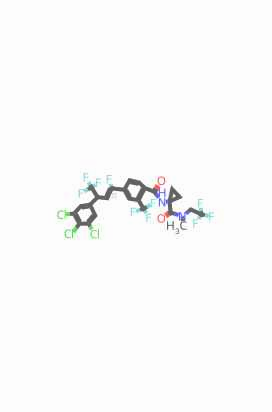 CN(CC(F)(F)F)C(=O)C1(NC(=O)c2ccc(/C(F)=C/C(c3cc(Cl)c(Cl)c(Cl)c3)C(F)(F)F)cc2C(F)(F)F)CC1